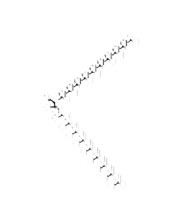 ClC(Cl)Cl.ClC(Cl)Cl.ClC(Cl)Cl.ClC(Cl)Cl.ClC(Cl)Cl.ClC(Cl)Cl.ClC(Cl)Cl.ClC(Cl)Cl.ClC(Cl)Cl.ClC(Cl)Cl.ClC(Cl)Cl.ClC(Cl)Cl.ClC(Cl)Cl.ClC(Cl)Cl.ClC(Cl)Cl.ClC(Cl)Cl.ClC(Cl)Cl.ClC(Cl)Cl.ClC(Cl)Cl.N#CCC(Cl)(Cl)Cl